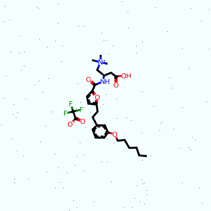 CCCCCCOc1cccc(CCc2ccc(C(=O)NC(CC(=O)O)C[N+](C)(C)C)o2)c1.O=C([O-])C(F)(F)F